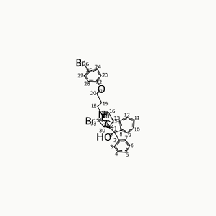 OC(c1ccccc1)(c1ccccc1)C12CC[N+](CCCOc3ccc(Br)cc3)(CC1)CC2.[Br-]